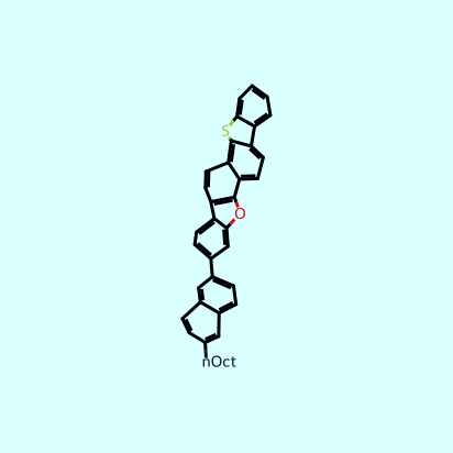 CCCCCCCCc1ccc2cc(-c3ccc4c(c3)oc3c4ccc4c3ccc3c5ccccc5sc34)ccc2c1